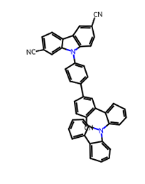 N#Cc1ccc2c(c1)c1ccc(C#N)cc1n2-c1ccc(-c2ccc(C#N)c(-c3ccccc3-n3c4ccccc4c4ccccc43)c2)cc1